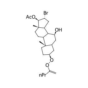 C=C(CCC)OO[C@H]1CC[C@@]2(C)C(C1)C[C@H](O)C1C2CC[C@@]2(C)C1C[C@@H](Br)[C@@H]2OC(C)=O